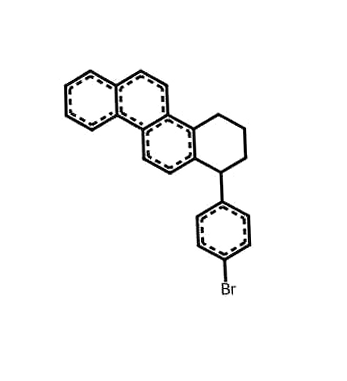 Brc1ccc(C2CCCc3c2ccc2c3ccc3ccccc32)cc1